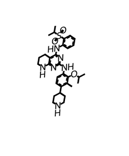 Cc1c(C2CCNCC2)ccc(Nc2nc3c(c(Nc4ccccc4S(=O)(=O)C(C)C)n2)CCCN3)c1OC(C)C